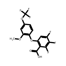 COc1cc(OC(F)(F)F)ccc1Oc1cc(F)c(F)c(F)c1C(=O)O